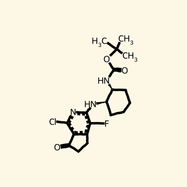 CC(C)(C)OC(=O)N[C@H]1CCCC[C@H]1Nc1nc(Cl)c2c(c1F)CCC2=O